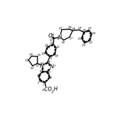 O=C(O)c1ccc2c(c1)nc(-c1ccc(C(=O)N3CCC(Cc4ccccc4)CC3)cc1)n2C1CCCC1